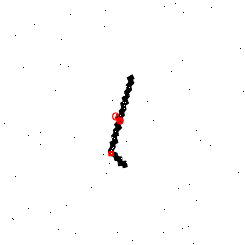 CCCCCC/C=C\CCCCCCCCOC(=O)CCCCCCCCCCCCC